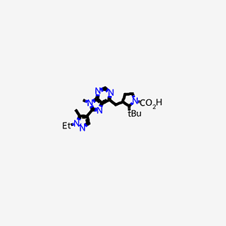 CCn1ncc(-c2nc3c(CC4CCN(C(=O)O)C4C(C)(C)C)ncnc3n2C)c1C